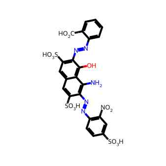 Nc1c(N=Nc2ccc(S(=O)(=O)O)cc2[N+](=O)[O-])c(S(=O)(=O)O)cc2cc(S(=O)(=O)O)c(N=Nc3ccccc3C(=O)O)c(O)c12